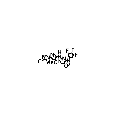 COc1cc(Nc2ncc3c(n2)N(c2cc(F)c(F)c(F)c2)CCO3)cnc1-n1cnc(Cl)c1